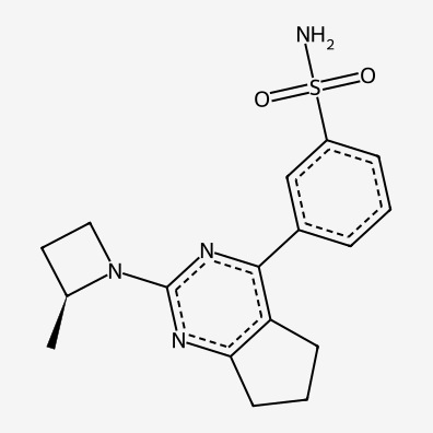 C[C@H]1CCN1c1nc2c(c(-c3cccc(S(N)(=O)=O)c3)n1)CCC2